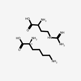 N=C(N)NCCC(N)C(=O)O.NCCCC[C@H](N)C(=O)O